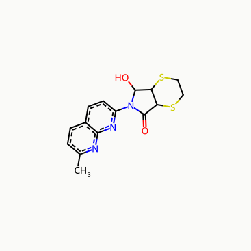 Cc1ccc2ccc(N3C(=O)C4SCCSC4C3O)nc2n1